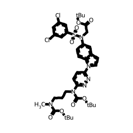 CN(CCCN(C(=O)OC(C)(C)C)c1ccc(-n2ccc3cc(N(CC(=O)OC(C)(C)C)S(=O)(=O)c4cc(Cl)cc(Cl)c4)ccc32)nn1)C(=O)OC(C)(C)C